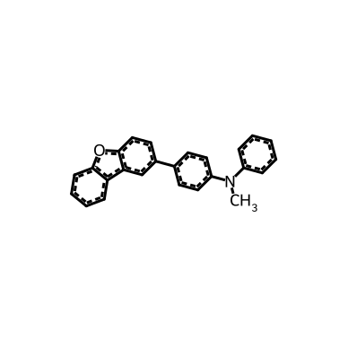 CN(c1ccccc1)c1ccc(-c2ccc3oc4ccccc4c3c2)cc1